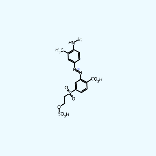 CCNc1ccc(/N=N/c2cc(S(=O)(=O)CCOS(=O)(=O)O)ccc2C(=O)O)cc1C